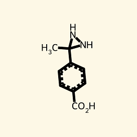 CC1(c2ccc(C(=O)O)cc2)NN1